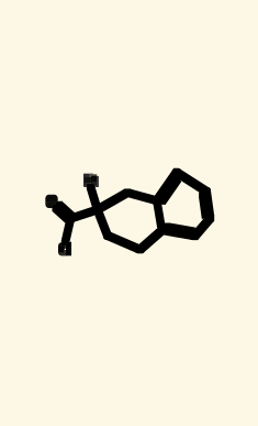 CCC1(C(=O)Cl)CCc2ccccc2C1